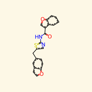 O=C(Nc1ncc(Cc2ccc3occc3c2)s1)c1coc2ccccc12